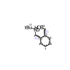 C/C=c1/cccc/c1=C/N(C)C(C)(C)C